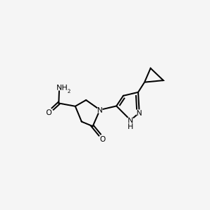 NC(=O)C1CC(=O)N(c2cc(C3CC3)n[nH]2)C1